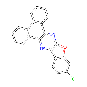 Clc1ccc2c(c1)oc1nc3c4ccccc4c4ccccc4c3nc12